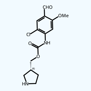 COc1cc(NC(=O)OC[C@@H]2CCNC2)c(Cl)cc1C=O